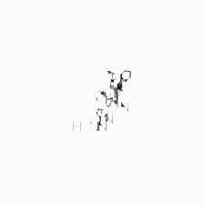 CC(=O)O[C@H]1[C@H](c2ccc3c(N)ncnn23)O[C@]2(C#N)C(OP(=O)(N[C@@H](C)C(=O)OC(C)(C)C)Oc3ccccc3)[C@]12OC(C)=O